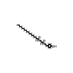 CCCCCCCCCCCCCCCCCC(=O)NCCC(=O)NCCc1ccc(O)cc1